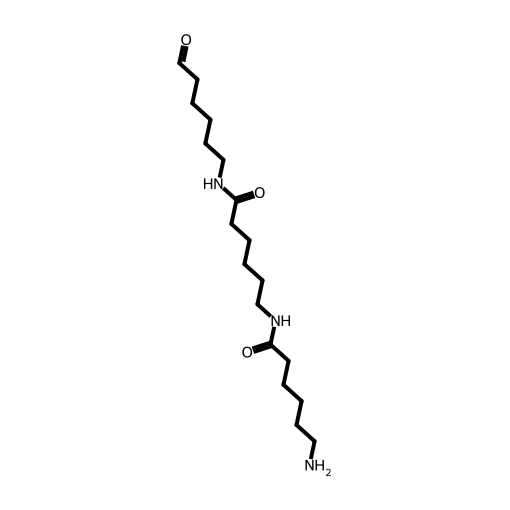 NCCCCCC(=O)NCCCCCC(=O)NCCCCCC=O